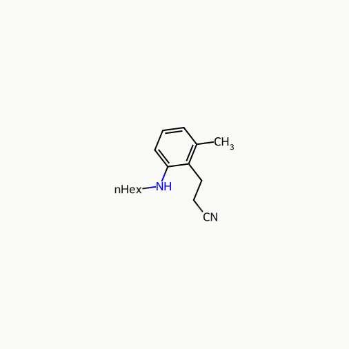 CCCCCCNc1cccc(C)c1CCC#N